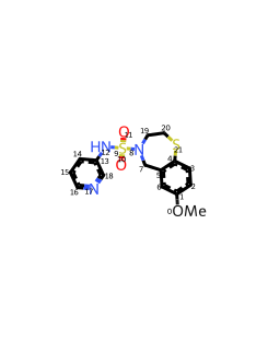 COc1ccc2c(c1)CN(S(=O)(=O)Nc1cccnc1)CCS2